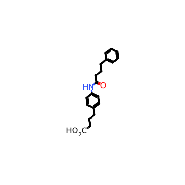 O=C(O)CCCc1ccc(NC(=O)CCCc2ccccc2)cc1